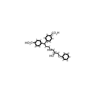 O=C(O)c1ccc(C(CCNC[C@H](O)COc2ccccc2)c2ccc(C(=O)O)cc2)cc1